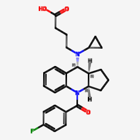 O=C(O)CCCN(C1CC1)[C@H]1c2ccccc2N(C(=O)c2ccc(F)cc2)[C@@H]2CCC[C@@H]21